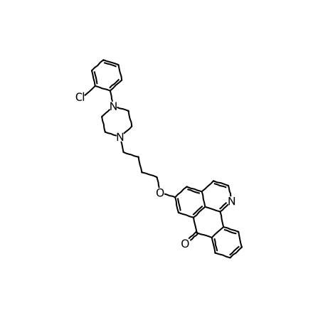 O=C1c2ccccc2-c2nccc3cc(OCCCCN4CCN(c5ccccc5Cl)CC4)cc1c23